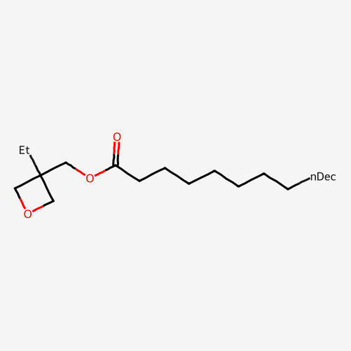 CCCCCCCCCCCCCCCCCC(=O)OCC1(CC)COC1